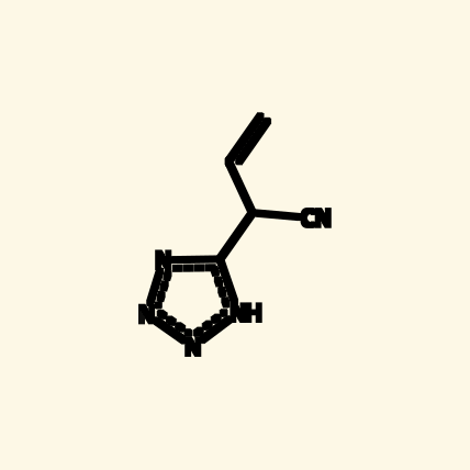 C=CC(C#N)c1nnn[nH]1